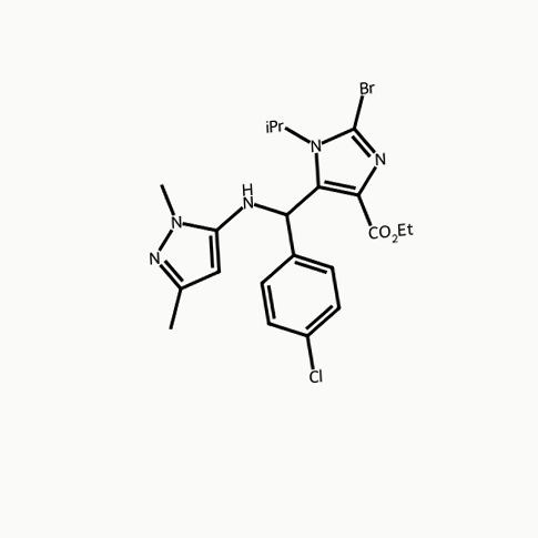 CCOC(=O)c1nc(Br)n(C(C)C)c1C(Nc1cc(C)nn1C)c1ccc(Cl)cc1